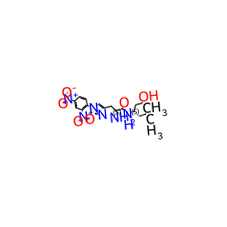 CC(C)C[C@@H](CCO)NC(=O)[C@@H](N)Cc1cn(-c2ccc([N+](=O)[O-])cc2[N+](=O)[O-])cn1